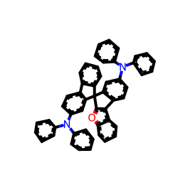 c1ccc(N(c2ccccc2)c2ccc3c(c2)C2(c4ccccc4-3)c3cc(N(c4ccccc4)c4ccccc4)ccc3-c3c2oc2ccccc32)cc1